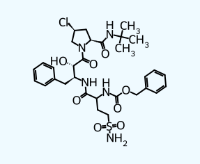 CC(C)(C)NC(=O)[C@@H]1C[C@H](Cl)CN1C(=O)[C@@H](O)[C@H](Cc1ccccc1)NC(=O)C(CCS(N)(=O)=O)NC(=O)OCc1ccccc1